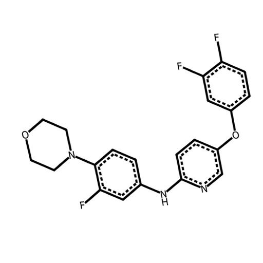 Fc1ccc(Oc2ccc(Nc3ccc(N4CCOCC4)c(F)c3)nc2)cc1F